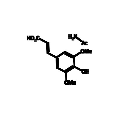 CC(N)=O.COc1cc(C=CC(=O)O)cc(OC)c1O